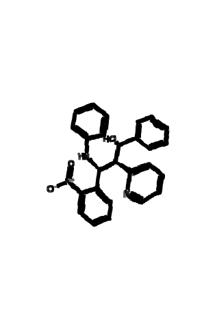 O=[N+]([O-])c1ccccc1[C@@H](Nc1ccccc1)[C@H](c1ccccn1)[C@@H](O)c1ccccc1